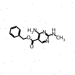 CNc1ncc(C(=O)OCc2ccccc2)c(N)n1